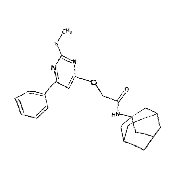 CSc1nc(OCC(=O)NC23CC4CC(CC(C4)C2)C3)cc(-c2ccccc2)n1